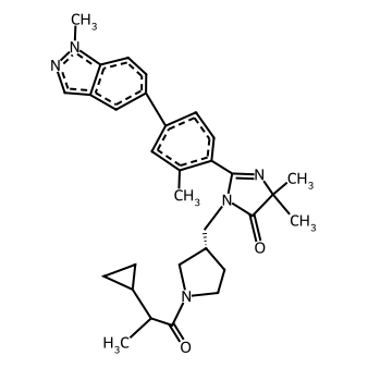 Cc1cc(-c2ccc3c(cnn3C)c2)ccc1C1=NC(C)(C)C(=O)N1C[C@@H]1CCN(C(=O)C(C)C2CC2)C1